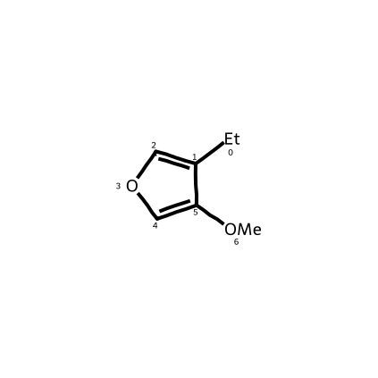 CCc1[c]occ1OC